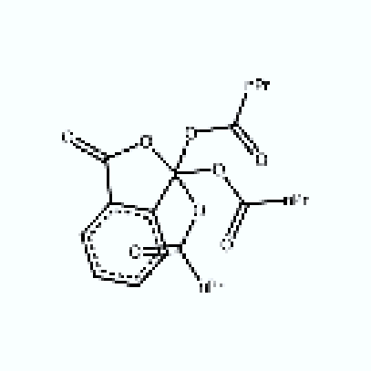 CCCC(=O)OI1(OC(=O)CCC)(OC(=O)CCC)OC(=O)c2ccccc21